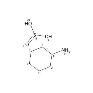 NC1CCCCC1.O=S(O)O